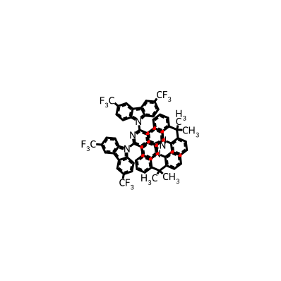 CC1(C)c2ccccc2N(c2ccccc2)c2c(-c3c(-n4c5ccc(C(F)(F)F)cc5c5cc(C(F)(F)F)ccc54)nc(-n4c5ccc(C(F)(F)F)cc5c5cc(C(F)(F)F)ccc54)c(-c4cccc5c4N(c4ccccc4)c4ccccc4C5(C)C)c3C#N)cccc21